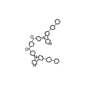 O=C(c1ccc(C(=O)c2ccc(-n3c4ccncc4c4cc(-c5ccc(-c6ccccc6)cc5)ccc43)cc2)cc1)c1ccc(-n2c3ccncc3c3cc(-c4ccc(-c5ccccc5)cc4)ccc32)cc1